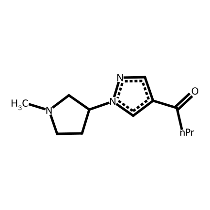 CCCC(=O)c1cnn(C2CCN(C)C2)c1